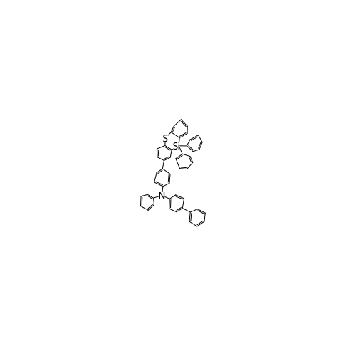 c1ccc(-c2ccc(N(c3ccccc3)c3ccc(-c4ccc5c(c4)[Si](c4ccccc4)(c4ccccc4)c4ccccc4S5)cc3)cc2)cc1